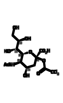 CC(=O)N[C@H]1[C@H]([C@H](O)[C@H](O)CO)O[C@](OC(=O)C(Cl)(Cl)Cl)(C(=O)O)C[C@@H]1O